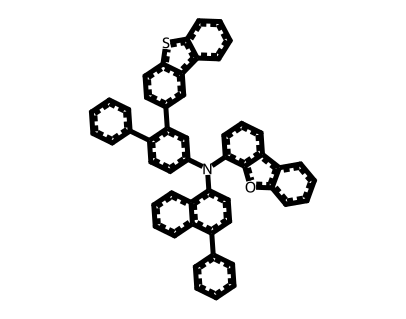 c1ccc(-c2ccc(N(c3ccc(-c4ccccc4)c4ccccc34)c3cccc4c3oc3ccccc34)cc2-c2ccc3sc4ccccc4c3c2)cc1